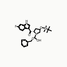 CC(C)(C)[Si](C)(C)OC1C[C@@H](C(=O)c2c[nH]c3cc(F)ccc23)N(C(O)OCc2ccccc2)C1